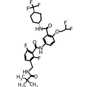 CC(C)(C)C(=O)NCc1ccc(F)c(C(=O)Nc2ccc(OCC(F)F)c(C(=O)N[C@H]3CC[C@H](C(F)(F)F)CC3)c2)c1F